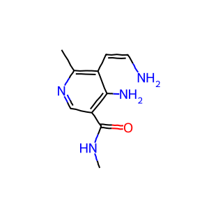 CNC(=O)c1cnc(C)c(/C=C\N)c1N